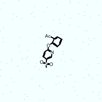 CC(=O)c1ccccc1Oc1ccc(S(C)(=O)=O)cn1